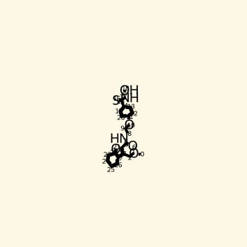 COCc1c(C(=O)NCCOc2ccc(C(=S)NO)cc2)oc2ccccc12